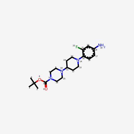 CC(C)(C)OC(=O)N1CCN(C2CCN(c3ccc(N)cc3F)CC2)CC1